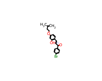 C=C(C)CCOc1ccc(/C=C/C(=O)c2ccc(Br)cc2)c(O)c1